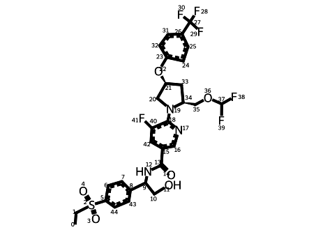 CCS(=O)(=O)c1ccc(C(CO)NC(=O)c2cnc(N3C[C@@H](Oc4ccc(C(F)(F)F)cc4)C[C@H]3COC(F)F)c(F)c2)cc1